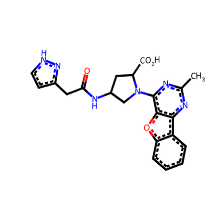 Cc1nc(N2CC(NC(=O)Cc3cc[nH]n3)CC2C(=O)O)c2oc3ccccc3c2n1